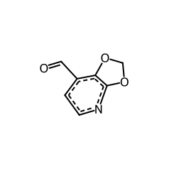 O=Cc1ccnc2c1OCO2